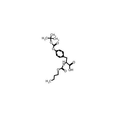 CCCCOC(=O)NC(Cc1ccc(OC(=O)OC(C)(C)C)cc1)C(=O)O